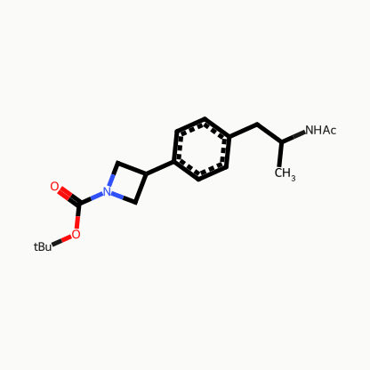 CC(=O)NC(C)Cc1ccc(C2CN(C(=O)OC(C)(C)C)C2)cc1